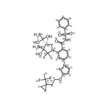 BC(O)(O)[C@@H]1CN(c2nc(-n3ccc(OCCC4(C(C)(F)F)CC4)n3)ccc2C(=O)NS(=O)(=O)c2ccccc2)C(C)(C)C1(B)O